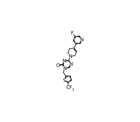 O=c1nc(N2CC=C(c3cncc(F)c3)CC2)ncn1Cc1ccc(C(F)(F)F)s1